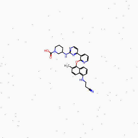 Cc1ccc2c(NCCC#N)cccc2c1Oc1ncccc1-c1ccnc(NC2CCCN(C(=O)O)C2)n1